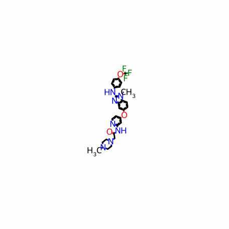 CN1CCN(CC(=O)Nc2cc(Oc3ccc4c(c3)nc(Nc3ccc(OC(F)(F)F)cc3)n4C)ccn2)CC1